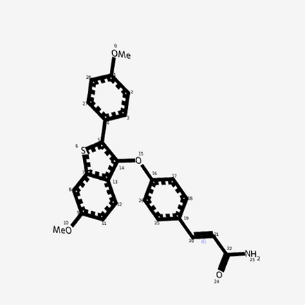 COc1ccc(-c2sc3cc(OC)ccc3c2Oc2ccc(/C=C/C(N)=O)cc2)cc1